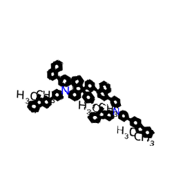 CC1(C)c2ccccc2-c2ccc(-c3ccc(N(c4cccc(-c5ccc(-c6cccc(C7(c8ccccc8)c8ccccc8-c8c(N(c9ccc(-c%10ccc%11c(c%10)C(C)(C)c%10ccccc%10-%11)cc9)c9cccc(-c%10cccc%11ccccc%10%11)c9)cccc87)c6)c6ccccc56)c4)c4ccc5c(c4)C(C)(C)c4ccccc4-5)cc3)cc21